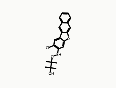 CC(C)(O)C(C)(C)OBc1cc2sc3cc4ccccc4cc3c2cc1Cl